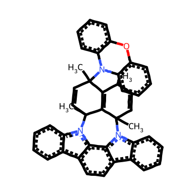 CC1C=CC2(C)C3=C1C(C)(N1c4ccccc4Oc4ccccc41)C=CC3(C)n1c3ccccc3c3ccc4c5ccccc5n2c4c31